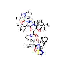 CC[C@H](C)[C@@H]([C@@H](CC(=O)N1CCC[C@H]1[C@H](OC)[C@@H](C)C(=O)N[C@@H](Cc1ccccc1)c1nccs1)OC)N(C)C(=O)[C@@H](NC(=O)C(C)(C)NC)C(C)C